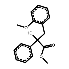 COC(=O)C(O)(Cc1ccccc1OC)c1ccccc1